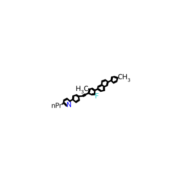 CCCc1ccc(-c2ccc(C#Cc3cc(F)c(-c4ccc5cc(-c6ccc(C)cc6)ccc5c4)cc3C)cc2)nc1